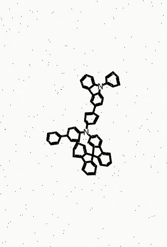 C1=CC(c2ccccc2)CC=C1N(c1ccc(-c2ccc3c(c2)c2ccccc2n3-c2ccccc2)cc1)c1ccc2c(c1)C1(c3ccccc3-c3ccccc31)c1ccccc1-2